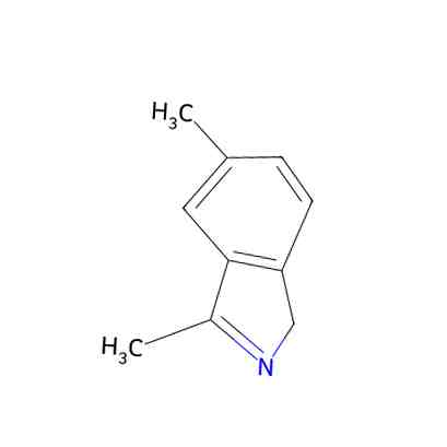 CC1=NCc2ccc(C)cc21